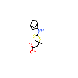 CC(C)(CC(=O)O)SC(=S)NC1CC2CCC1C2